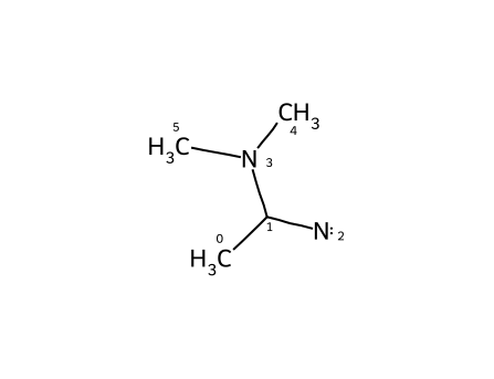 CC([N])N(C)C